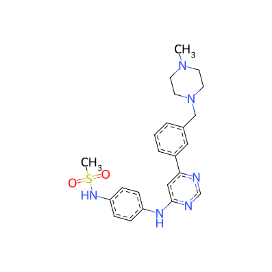 CN1CCN(Cc2cccc(-c3cc(Nc4ccc(NS(C)(=O)=O)cc4)ncn3)c2)CC1